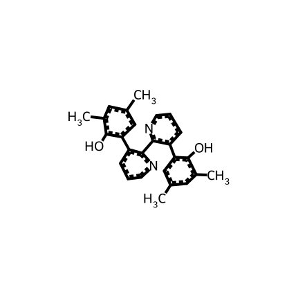 Cc1cc(C)c(O)c(-c2cccnc2-c2ncccc2-c2cc(C)cc(C)c2O)c1